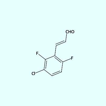 O=CC=Cc1c(F)ccc(Cl)c1F